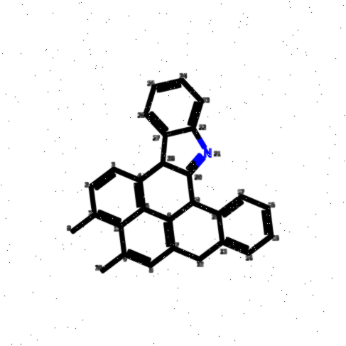 Cc1ccc2c3c4c(cc(C)c13)Cc1ccccc1C4C1=Nc3ccccc3C12